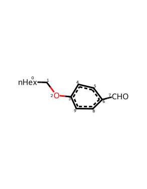 CCCCCCCOc1ccc(C=O)cc1